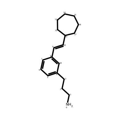 NCCCc1cccc(/C=C/C2CCCCCC2)c1